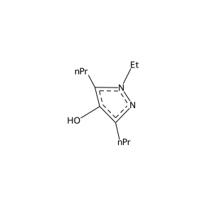 CCCc1nn(CC)c(CCC)c1O